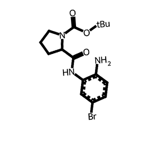 CC(C)(C)OC(=O)N1CCCC1C(=O)Nc1cc(Br)ccc1N